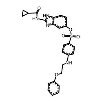 O=C(Nc1nc2cc(OS(=O)(=O)c3ccc(NCCOc4ccccc4)cc3)ccc2[nH]1)C1CC1